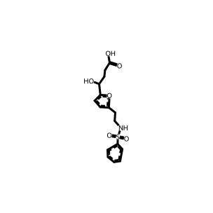 O=C(O)CCC(O)c1ccc(CCNS(=O)(=O)c2ccccc2)o1